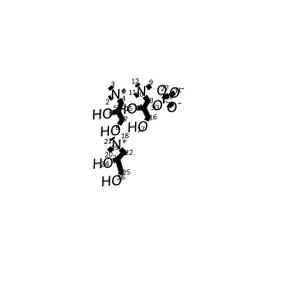 C[N+](C)(C)CC(O)CO.C[N+](C)(C)CC(O)CO.C[N+](C)(C)CC(O)CO.O=P([O-])([O-])[O-]